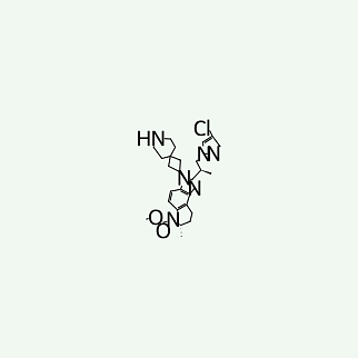 COC(=O)N1c2ccc3c(nc([C@H](C)Cn4cc(Cl)cn4)n3C3CC4(CCNCC4)C3)c2CC[C@@H]1C